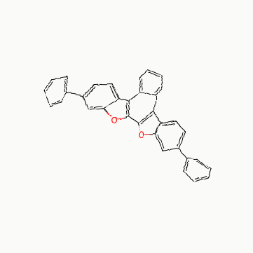 c1ccc(-c2ccc3c(c2)oc2c4oc5cc(-c6ccccc6)ccc5c4c4ccccc4c32)cc1